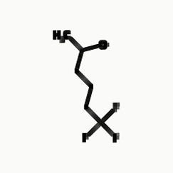 CC([O])CCCC(F)(F)F